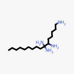 CCCCCCCCCC(N)(N)C(N)CCCCCN